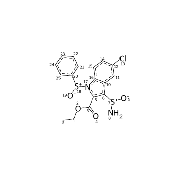 CCOC(=O)c1c([S+](N)[O-])c2cc(Cl)ccc2n1[S+]([O-])c1ccccc1